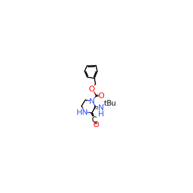 CC(C)(C)N[C@@H]1C(=C=O)NCCN1C(=O)OCc1ccccc1